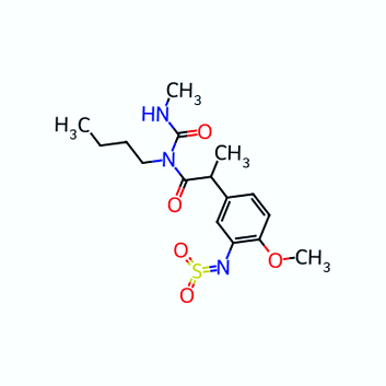 CCCCN(C(=O)NC)C(=O)C(C)c1ccc(OC)c(N=S(=O)=O)c1